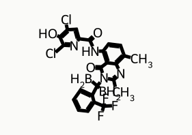 BC(B)(c1ccccc1C(F)(F)F)n1c(C)nc2c(C)ccc(NC(=O)c3cc(Cl)c(O)c(Cl)n3)c2c1=O